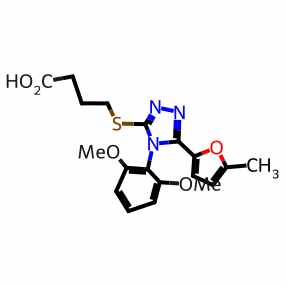 COc1cccc(OC)c1-n1c(SCCCC(=O)O)nnc1-c1ccc(C)o1